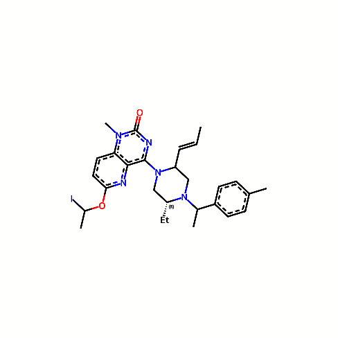 CC=CC1CN(C(C)c2ccc(C)cc2)[C@H](CC)CN1c1nc(=O)n(C)c2ccc(OC(C)I)nc12